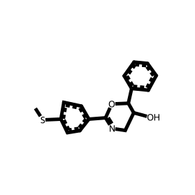 CSc1ccc(C2=NCC(O)C(c3ccccc3)O2)cc1